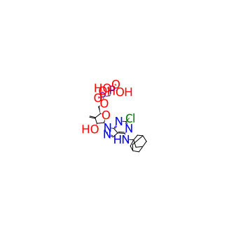 C=C1[C@@H](O)[C@H](n2ncc3c(NC45CC6CC(CC(C6)C4)C5)nc(Cl)nc32)O[C@@H]1COP(=O)(O)CP(=O)(O)O